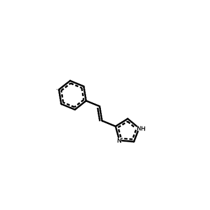 [c]1ccc(C=Cc2c[nH]cn2)cc1